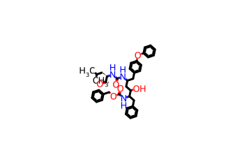 CC(C)C[C@@H]([C]=O)NC(=O)NC(Cc1ccc(Oc2ccccc2)cc1)CC(O)C(Cc1ccccc1)NC(=O)OCc1ccccc1